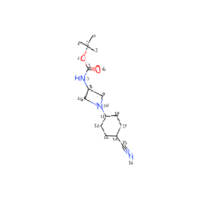 CC(C)(C)OC(=O)NC1CN(C2CCC(C#N)CC2)C1